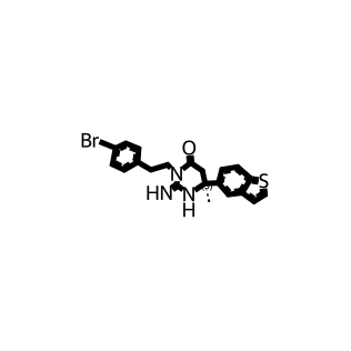 C[C@@]1(c2ccc3sccc3c2)CC(=O)N(CCc2ccc(Br)cc2)C(=N)N1